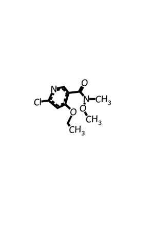 CCOc1cc(Cl)ncc1C(=O)N(C)OC